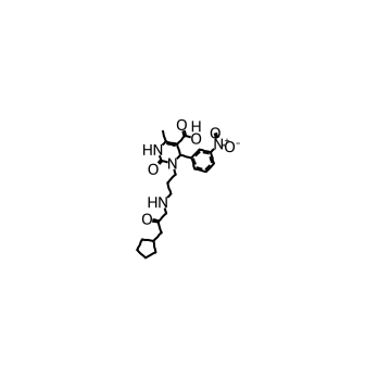 CC1=C(C(=O)O)C(c2cccc([N+](=O)[O-])c2)N(CCCNCC(=O)CC2CCCC2)C(=O)N1